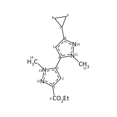 CCOC(=O)c1cc(-c2cc(C3CC3)nn2C)n(C)n1